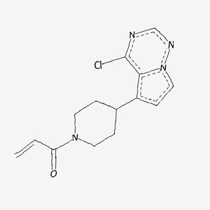 C=CC(=O)N1CCC(c2ccn3ncnc(Cl)c23)CC1